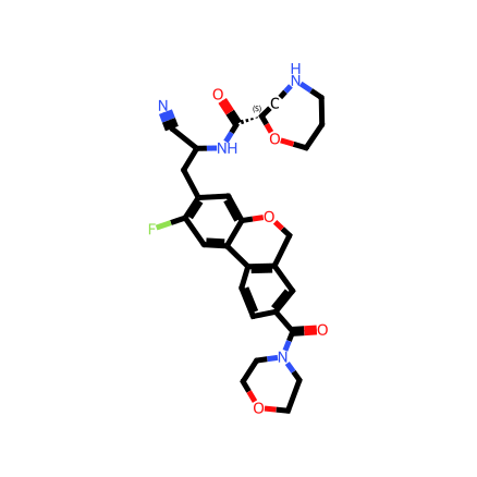 N#CC(Cc1cc2c(cc1F)-c1ccc(C(=O)N3CCOCC3)cc1CO2)NC(=O)[C@@H]1CNCCCO1